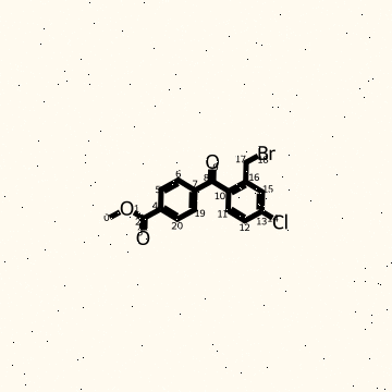 COC(=O)c1ccc(C(=O)c2ccc(Cl)cc2CBr)cc1